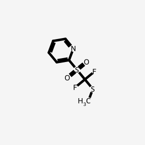 CSC(F)(F)S(=O)(=O)c1ccccn1